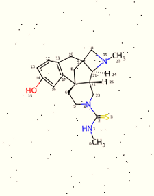 CNC(=S)N1CC[C@]23CC4(Cc5ccc(O)cc52)CN(C)[C@H]4[C@@H]3C1